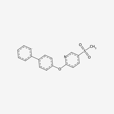 CS(=O)(=O)c1ccc(Oc2ccc(-c3[c]cccc3)cc2)nc1